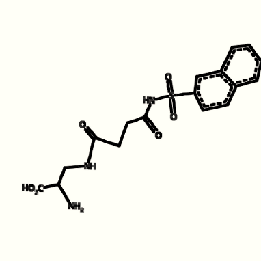 NC(CNC(=O)CCC(=O)NS(=O)(=O)c1ccc2ccccc2c1)C(=O)O